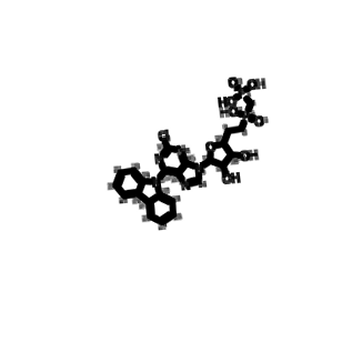 O=P(O)(O)CP(=O)(O)CCC1OC(n2cnc3c(-n4c5ccccc5c5ccccc54)nc(Cl)nc32)C(O)C1O